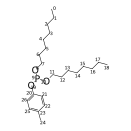 CCCCCCCCOP(OCCCCCCCC)Oc1ccc(C)cc1